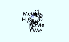 COc1c(C(=O)NS2(=O)=NC(=O)c3ccc4c(c3)N(C[C@@H]3CC[C@H]3[C@@H](OC)/C=C/C[C@H](C)C2)C[C@@]2(CCCc3cc(Cl)ccc32)CO4)cn2c1C[C@@H](OC)C2